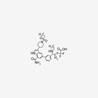 CCNC(C)c1cccc(-c2cc(C(N)=O)c3[nH]cc(C4CCN(S(=O)(=O)CC)CC4)c3c2)c1.O=C(O)C(F)(F)F